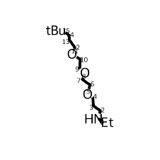 CCNCCCOCCOCCOCCCC(C)(C)C